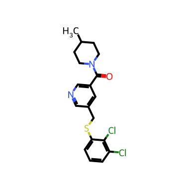 CC1CCN(C(=O)c2cncc(CSc3cccc(Cl)c3Cl)c2)CC1